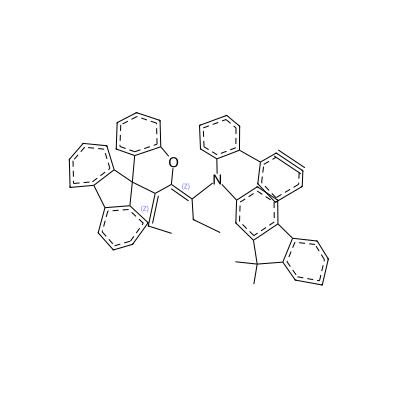 C/C=C1\C(=C(/CC)N(c2ccc3c(c2)C(C)(C)c2ccccc2-3)c2ccccc2-c2c#cccc2)Oc2ccccc2C12c1ccccc1-c1ccccc12